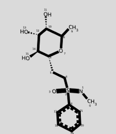 CN=S(=O)(CC[C@H]1OC(C)[C@@H](O)[C@@H](O)[C@@H]1O)c1ccccc1